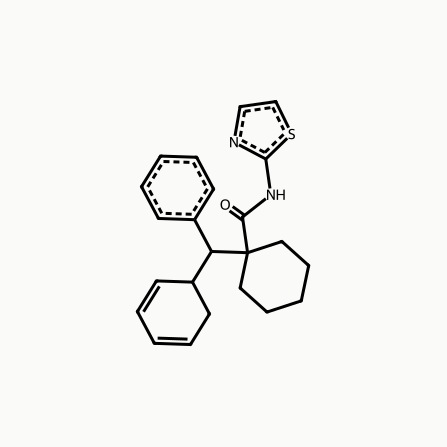 O=C(Nc1nccs1)C1(C(c2ccccc2)C2C=CC=CC2)CCCCC1